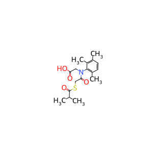 Cc1ccc(C)c(N(CC(=O)O)C(=O)CSC(=O)C(C)C)c1C